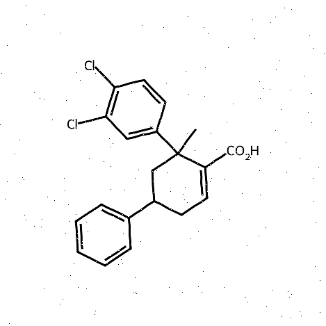 CC1(c2ccc(Cl)c(Cl)c2)CC(c2ccccc2)CC=C1C(=O)O